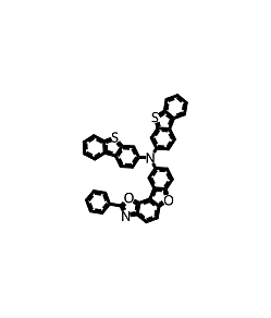 c1ccc(-c2nc3ccc4oc5ccc(N(c6ccc7c(c6)sc6ccccc67)c6ccc7c(c6)sc6ccccc67)cc5c4c3o2)cc1